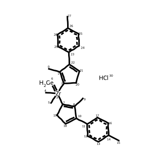 CC1=[C]([Zr]([CH3])([CH3])(=[GeH2])[C]2=C(C)C(c3ccc(C)cc3)=CC2)CC=C1c1ccc(C)cc1.Cl